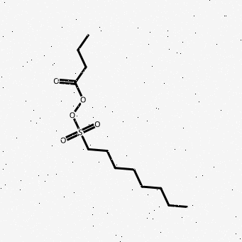 CCCCCCCCS(=O)(=O)OOC(=O)CCC